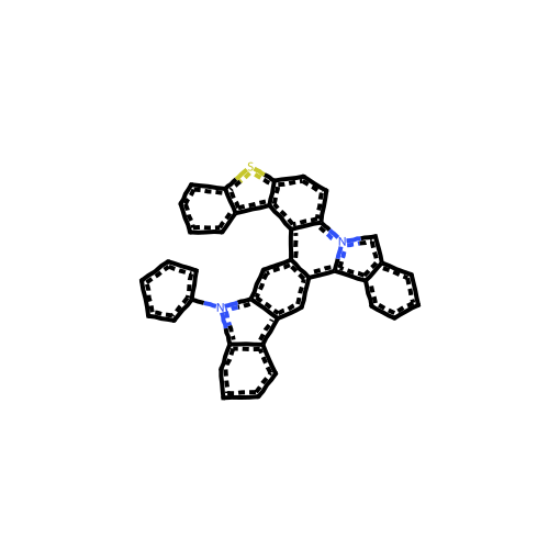 c1ccc(-n2c3ccccc3c3cc4c(cc32)c2c3c(ccc2n2cc5ccccc5c42)sc2ccccc23)cc1